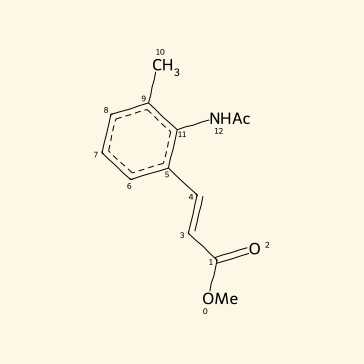 COC(=O)C=Cc1cccc(C)c1NC(C)=O